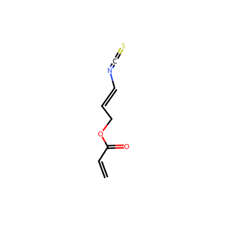 C=CC(=O)OCC=CN=C=S